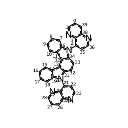 c1cnc2c(-n3c4ccccc4c4c5c6ccccc6n(-c6ccnc7cccnc67)c5ccc43)ccnc2c1